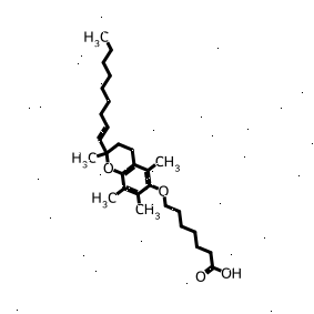 CCCCCCCC=CC1(C)CCc2c(C)c(OCCCCCCC(=O)O)c(C)c(C)c2O1